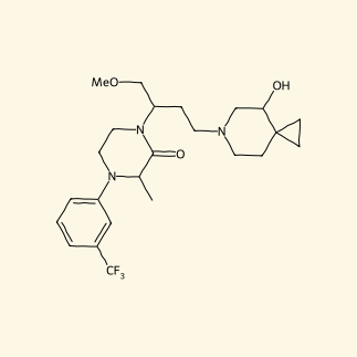 COCC(CCN1CCC2(CC2)C(O)C1)N1CCN(c2cccc(C(F)(F)F)c2)C(C)C1=O